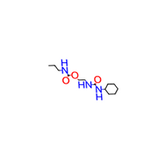 CCCNC(=O)OCCNC(=O)NC1CCCCC1